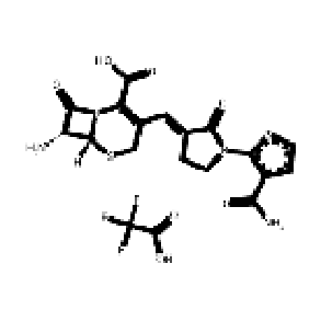 NC(=O)c1ccsc1N1CC/C(=C\C2=C(C(=O)O)N3C(=O)[C@@H](N)[C@H]3SC2)C1=O.O=C(O)C(F)(F)F